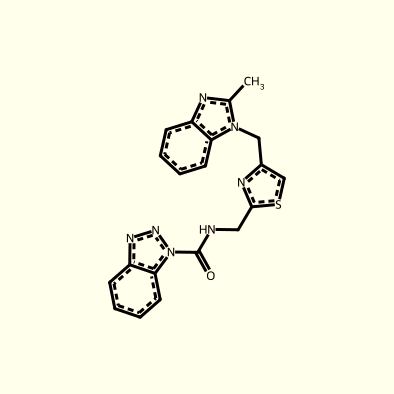 Cc1nc2ccccc2n1Cc1csc(CNC(=O)n2nnc3ccccc32)n1